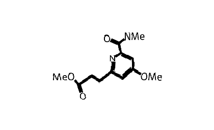 CNC(=O)c1cc(OC)cc(CCC(=O)OC)n1